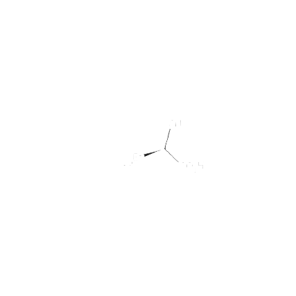 CC[C@@H](C)C(=O)O.[Co]